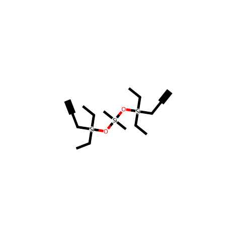 C#CC[Si](CC)(CC)O[Si](C)(C)O[Si](CC)(CC)CC#C